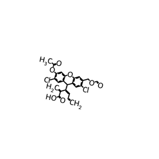 C=C/C=C(\C(=C)C(=O)O)C1c2cc(Cl)c(COC=O)cc2Oc2cc(OC(C)=O)c(Cl)cc21